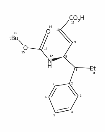 CCC(c1ccccc1)[C@H](/C=C/C(=O)O)NC(=O)OC(C)(C)C